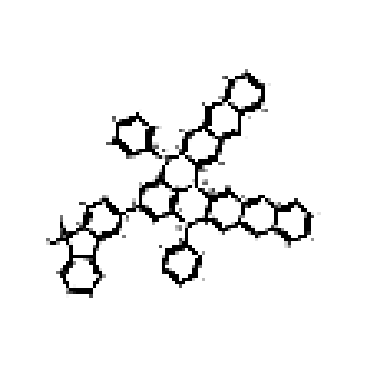 CC1(C)c2ccccc2-c2cc(-c3cc4c5c(c3)N(c3ccccc3)c3cc6cc7ccccc7cc6cc3B5c3cc5cc6ccccc6cc5cc3N4c3ccccc3)ccc21